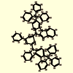 c1ccc(-c2nc(-n3c4ccccc4c4cc([Si](c5ccccc5)(c5ccccc5)c5ccccc5)ccc43)nc(-n3c4ccc([Si](c5ccccc5)(c5ccccc5)c5ccccc5)cc4n4c5ccccc5nc34)n2)cc1